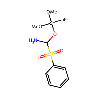 CCC[Si](OC)(OC)OC(N)S(=O)(=O)c1ccccc1